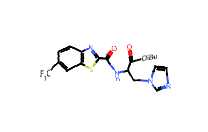 CC(C)COC(=O)C(Cn1ccnc1)NC(=O)c1nc2ccc(C(F)(F)F)cc2s1